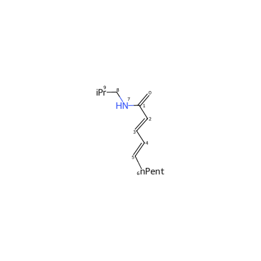 C=C(/C=C/C=C/CCCCC)NCC(C)C